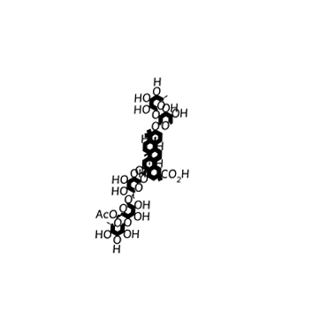 CC(=O)OC[C@H]1O[C@@H](OC[C@H]2O[C@@H](OC(=O)[C@]34CC[C@@](C)(C(=O)O)C[C@H]3C3=CC[C@@H]5[C@@]6(C)CC[C@H](O[C@@H]7OC[C@H](O)[C@H](O)[C@H]7O[C@@H]7O[C@@H](C)[C@H](O)[C@@H](O)[C@H]7O)C(C)(C)[C@@H]6CC[C@@]5(C)[C@]3(C)CC4)[C@H](O)[C@@H](O)[C@@H]2O)[C@H](O)[C@@H](O)[C@@H]1O[C@@H]1O[C@@H](C)[C@H](O)[C@@H](O)[C@H]1O